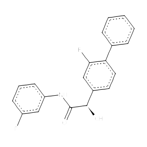 C[C@@H](C(=O)Nc1cccc(F)c1)c1ccc(-c2ccccc2)c(F)c1